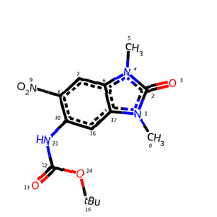 Cn1c(=O)n(C)c2cc([N+](=O)[O-])c(NC(=O)OC(C)(C)C)cc21